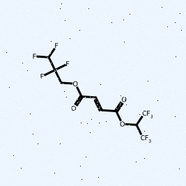 O=C(/C=C/C(=O)OC(C(F)(F)F)C(F)(F)F)OCC(F)(F)C(F)F